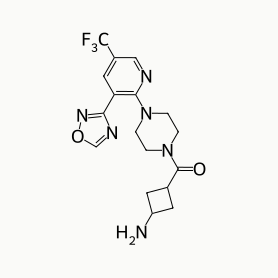 NC1CC(C(=O)N2CCN(c3ncc(C(F)(F)F)cc3-c3ncon3)CC2)C1